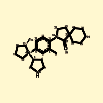 Cc1cc([N+]2([C@H]3CCNC3)CCC[C@@H]2C)ccc1N1CCC2(CCCCC2)C1=O